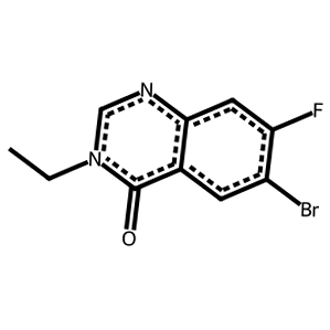 CCn1cnc2cc(F)c(Br)cc2c1=O